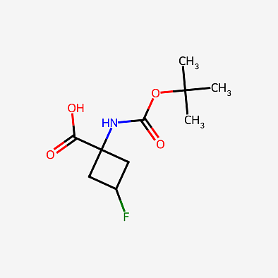 CC(C)(C)OC(=O)NC1(C(=O)O)CC(F)C1